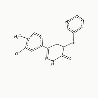 Cc1ccc(C2=NNC(=O)C(Sc3cccnc3)C2)cc1Cl